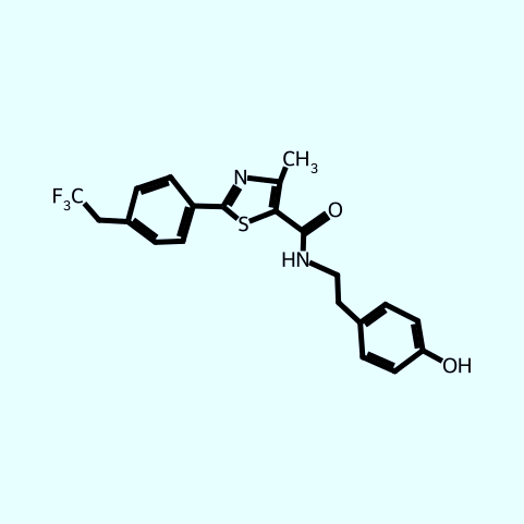 Cc1nc(-c2ccc(CC(F)(F)F)cc2)sc1C(=O)NCCc1ccc(O)cc1